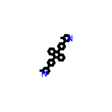 Cc1cc(-c2ccc(-c3c4ccccc4c(-c4ccc(-c5cnccc5C)cc4)c4ccccc34)cc2)ccn1